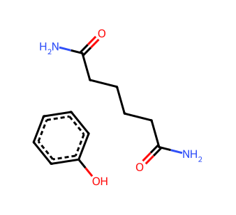 NC(=O)CCCCC(N)=O.Oc1ccccc1